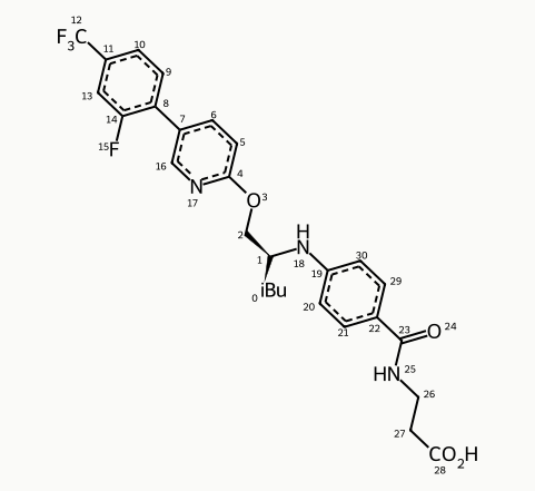 CC[C@H](C)[C@@H](COc1ccc(-c2ccc(C(F)(F)F)cc2F)cn1)Nc1ccc(C(=O)NCCC(=O)O)cc1